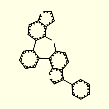 c1ccc(-c2coc3c4c(ccc23)Nc2c(ccc3occc23)-c2ccccc2-4)cc1